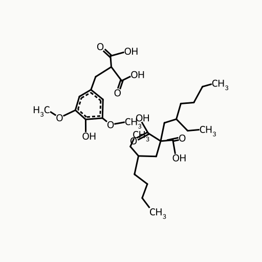 CCCCC(CC)CC(CC(CC)CCCC)(C(=O)O)C(=O)O.COc1cc(CC(C(=O)O)C(=O)O)cc(OC)c1O